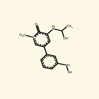 CC(O)Nc1cc(-c2cccc(NS)c2)cn(C)c1=O